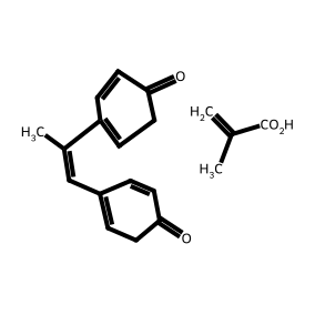 C=C(C)C(=O)O.CC(=CC1=CCC(=O)C=C1)C1=CCC(=O)C=C1